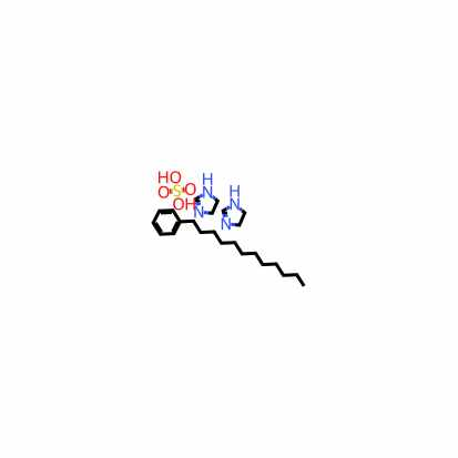 C1=NCCN1.C1=NCCN1.CCCCCCCCCCCCc1ccccc1.O=S(=O)(O)O